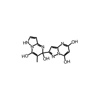 CC1=C(O)N2NC=CC2=NC1(O)c1cc2nc(O)cc(O)n2n1